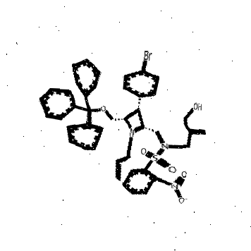 C=CCN1[C@H](COC(c2ccccc2)(c2ccccc2)c2ccccc2)[C@H](c2ccc(Br)cc2)[C@@H]1CN(CC(=C)CO)S(=O)(=O)c1ccccc1[N+](=O)[O-]